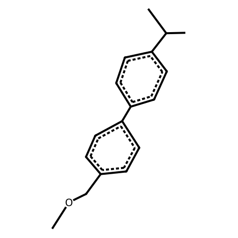 COCc1ccc(-c2ccc(C(C)C)cc2)cc1